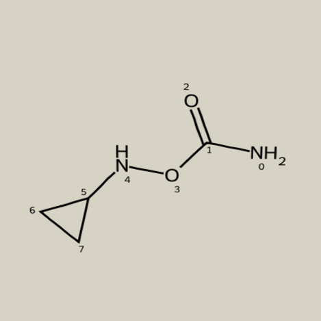 NC(=O)ONC1CC1